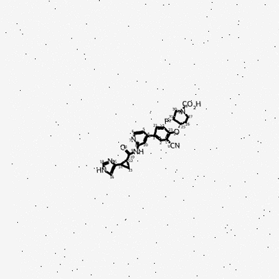 N#Cc1cc(-c2ccnc(NC(=O)C3CC3c3c[nH]cn3)c2)ccc1O[C@H]1CCN(C(=O)O)C[C@H]1F